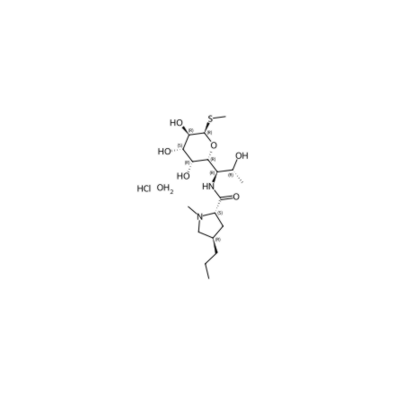 CCC[C@@H]1C[C@@H](C(=O)N[C@@H]([C@H]2O[C@H](SC)[C@H](O)[C@@H](O)[C@H]2O)[C@@H](C)O)N(C)C1.Cl.O